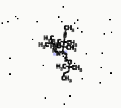 CC#CC(C)(C)C(C)(C)C(=C/SOC(C)(C)CCC)/N=N\NC(C)C